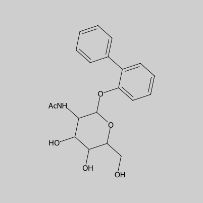 CC(=O)NC1C(Oc2ccccc2-c2ccccc2)OC(CO)C(O)C1O